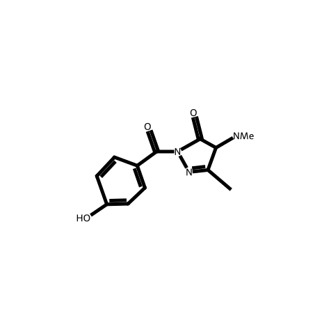 CNC1C(=O)N(C(=O)c2ccc(O)cc2)N=C1C